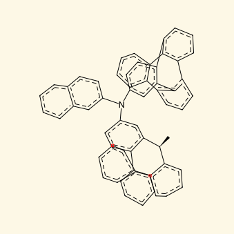 C[C@@H](c1ccccc1-c1ccccc1)c1cc(N(c2ccc3c(c2)-c2c4cccc2-c2cccc-3c2-c2ccccc2-4)c2ccc3ccccc3c2)ccc1-c1ccccc1